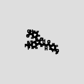 COc1ccc(C(=O)NNC=C2C(=O)N(c3cccc(C(=O)O)c3)c3cc(C(F)(F)F)ccc32)cc1